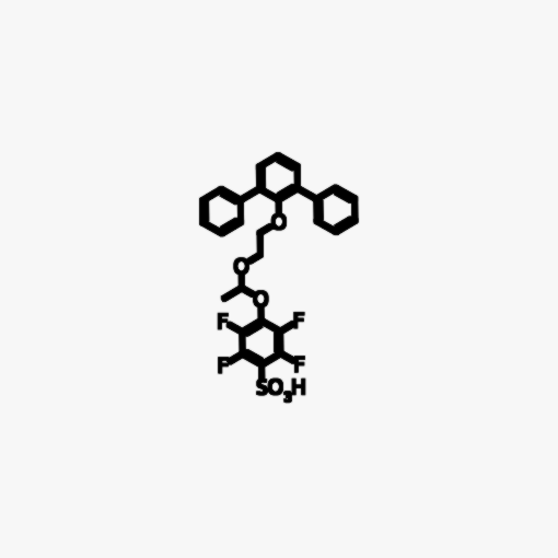 CC(OCCOc1c(-c2ccccc2)cccc1-c1ccccc1)Oc1c(F)c(F)c(S(=O)(=O)O)c(F)c1F